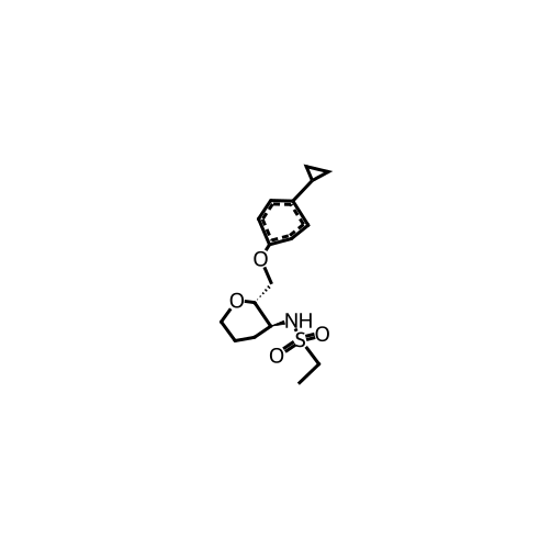 CCS(=O)(=O)N[C@H]1CCCO[C@@H]1COc1ccc(C2CC2)cc1